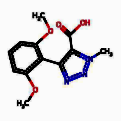 COc1cccc(OC)c1-c1nnn(C)c1C(=O)O